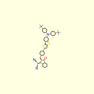 CC(C)(C)c1ccc(N(c2ccc(C(C)(C)C)cc2)c2ccc3c(c2)sc2cc(-c4ccc(/C=C5\C(=O)c6ccccc6C5=C(C#N)C#N)cc4)sc23)cc1